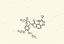 [2H]c1ccc2c(c1NC(=O)C1CC1)C(=O)N([C@H](CS(C)(=O)=O)c1ccc(OC)c(OCC)c1)C2